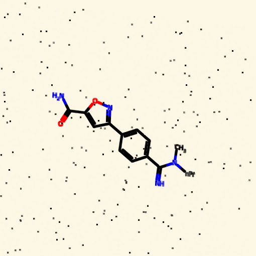 CCCN(C)C(=N)c1ccc(-c2cc(C(N)=O)on2)cc1